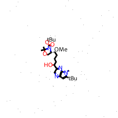 COC(CCCC(O)c1cnc2cc(C(C)(C)C)n(C)c2n1)[C@@H]1COC(C)(C)N1C(=O)OC(C)(C)C